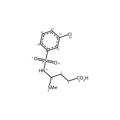 CSC(CCC(=O)O)NS(=O)(=O)c1cccc(Cl)c1